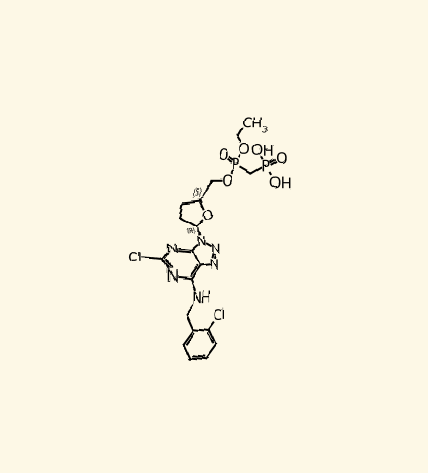 CCOP(=O)(CP(=O)(O)O)OC[C@@H]1CC[C@H](n2nnc3c(NCc4ccccc4Cl)nc(Cl)nc32)O1